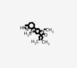 CCCC1(CCC)C(=O)N(CC)c2cc3c4c(n(C)c3cc21)-c1n[nH]cc1CCC4